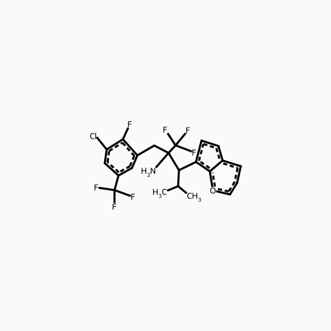 CC(C)C(c1ccc2cccoc1-2)C(N)(Cc1cc(C(F)(F)F)cc(Cl)c1F)C(F)(F)F